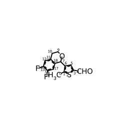 Cc1sc(C=O)cc1C1OCCc2cc(F)c(F)cc21